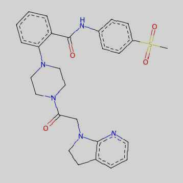 CS(=O)(=O)c1ccc(NC(=O)c2ccccc2N2CCN(C(=O)CN3CCc4cccnc43)CC2)cc1